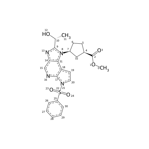 COC(=O)[C@@H]1CC[C@H](n2c([C@@H](C)O)nc3cnc4c(ccn4S(=O)(=O)c4ccccc4)c32)C1